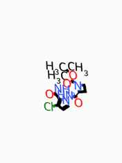 CC(C)(C)OC(=O)N1CC[C@H]1C(=O)Nn1ccc(Cl)c1C(N)=O